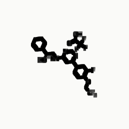 O=C(O)C(F)(F)F.O[C@@H](CNc1cc(-c2ccc(OCC(F)(F)F)c(F)c2)ncn1)c1ccccc1